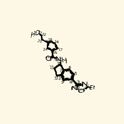 CCc1nc(-c2ccc3c(c2)CC[C@H]3NC(=O)c2cccc(CCO)c2)no1